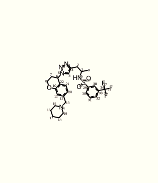 CC(Cc1cn(C2CCOc3cc(CN4CCCCC4)ccc32)nn1)NS(=O)(=O)c1cccc(C(F)(F)F)c1